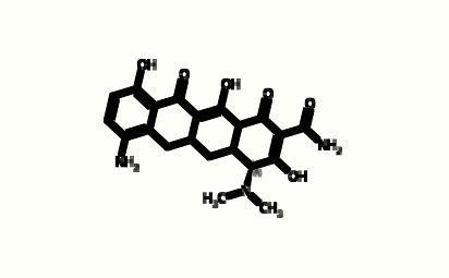 CN(C)[C@@H]1C(O)=C(C(N)=O)C(=O)C2C(O)=C3C(=O)c4c(O)ccc(N)c4CC3CC21